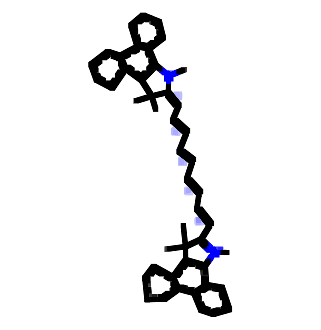 CN1/C(=C/C=C/C=C/C=C/C=C/C2=[N+](C)c3c(c4ccccc4c4ccccc34)C2(C)C)C(C)(C)c2c1c1ccccc1c1ccccc21